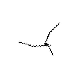 CCCCCCCCCCCCCCCCCCc1cc(CCCCCCCCCCCCCCCCCC)c[n+](CCCCCCCCC)c1